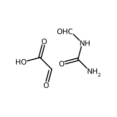 NC(=O)NC=O.O=CC(=O)O